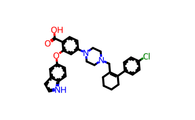 O=C(O)c1ccc(N2CCN(CC3=C(c4ccc(Cl)cc4)CCCC3)CC2)cc1Oc1ccc2[nH]ccc2c1